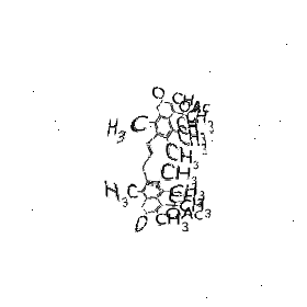 CC(=O)OC(C)(C)C1=C(C)C(=O)Cc2c(C)c(CCCc3c(C)c(C)c4c(c3C)CC(=O)C(C)=C4C(C)(C)OC(C)=O)c(C)c(C)c21